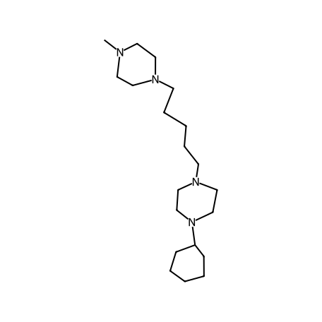 CN1CCN(CCCCCN2CCN(C3CCCCC3)CC2)CC1